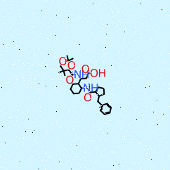 CC1(C)OCC(C)(C)C(C(=O)NC(CC(=O)O)C2CCCCC2NC(=O)C2CCCC2Cc2ccccc2)O1